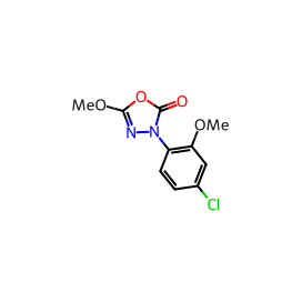 COc1nn(-c2ccc(Cl)cc2OC)c(=O)o1